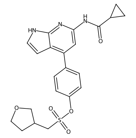 O=C(Nc1cc(-c2ccc(OS(=O)(=O)CC3CCOC3)cc2)c2cc[nH]c2n1)C1CC1